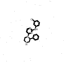 Clc1cccc(Nc2nccc(N3CCNCC3c3ccccc3)n2)c1